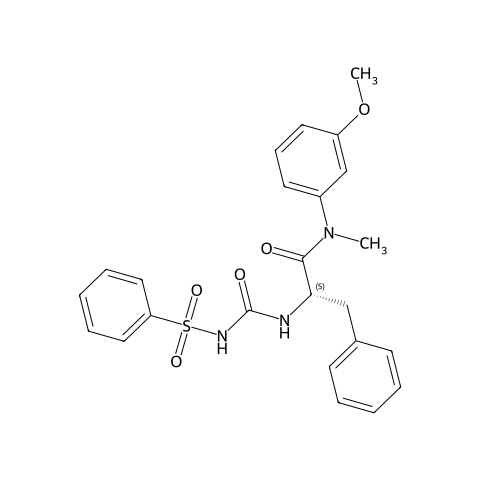 COc1cccc(N(C)C(=O)[C@H](Cc2ccccc2)NC(=O)NS(=O)(=O)c2ccccc2)c1